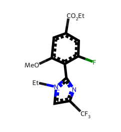 CCOC(=O)c1cc(F)c(-c2nc(C(F)(F)F)cn2CC)c(OC)c1